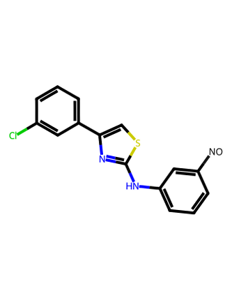 O=Nc1cccc(Nc2nc(-c3cccc(Cl)c3)cs2)c1